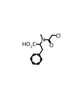 CN(C(=O)CCl)C(Cc1ccccc1)C(=O)O